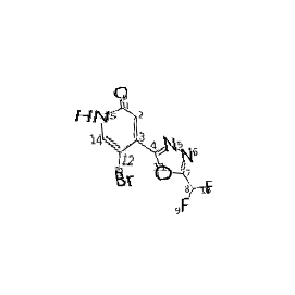 O=c1cc(-c2nnc(C(F)F)o2)c(Br)c[nH]1